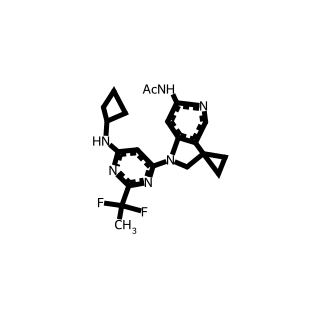 CC(=O)Nc1cc2c(cn1)C1(CC1)CN2c1cc(NC2CCC2)nc(C(C)(F)F)n1